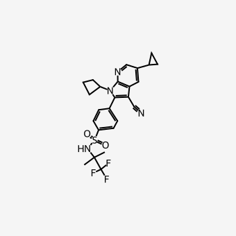 CC(C)(NS(=O)(=O)c1ccc(-c2c(C#N)c3cc(C4CC4)cnc3n2C2CCC2)cc1)C(F)(F)F